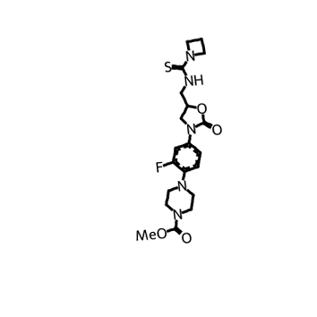 COC(=O)N1CCN(c2ccc(N3CC(CNC(=S)N4CCC4)OC3=O)cc2F)CC1